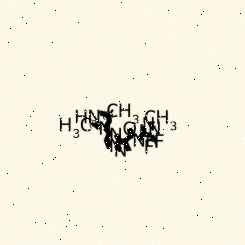 C[C@@H]1CN[C@H](C)CN(c2ccn3ncc(C(=O)Nc4cn(C)nc4C(F)F)c3n2)C1